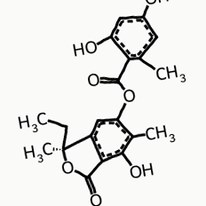 CC[C@]1(C)OC(=O)c2c1cc(OC(=O)c1c(C)cc(O)cc1O)c(C)c2O